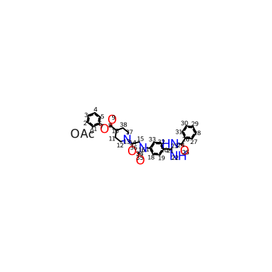 CC(=O)Oc1ccccc1OC(=O)C1CCN(C2CN(c3ccc(C(=N)NC(=O)c4ccccc4)cc3)C(=O)O2)CC1